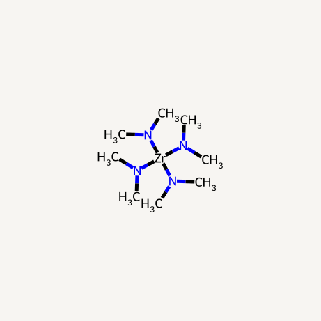 C[N](C)[Zr]([N](C)C)([N](C)C)[N](C)C